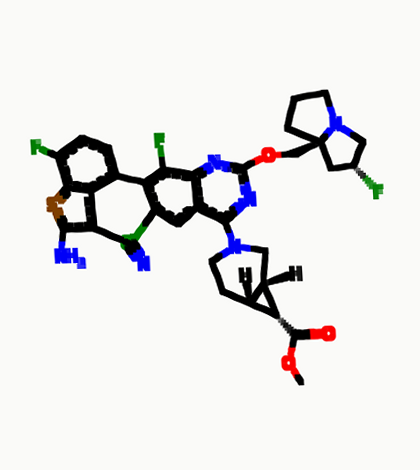 COC(=O)[C@@H]1[C@@H]2CCN(c3nc(OC[C@@]45CCCN4C[C@H](F)C5)nc4c(F)c(-c5ccc(F)c6sc(N)c(C#N)c56)c(Cl)cc34)C[C@@H]21